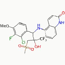 COc1ccc(C(Nc2cccc3[nH]c(=O)ccc23)C(O)(CS(C)(=O)=O)C(F)(F)F)c(Cl)c1F